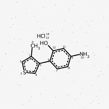 Cc1cscc1-c1ccc(N)cc1O.Cl